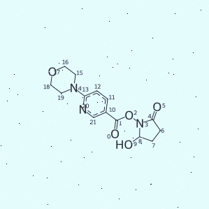 O=C(ON1C(=O)CCC1O)c1ccc(N2CCOCC2)nc1